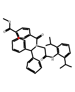 COC(=O)c1ccc(C(=O)N(CC(=O)Nc2c(C(C)C)cccc2C(C)C)C(c2ccccc2)c2ccccc2)cc1